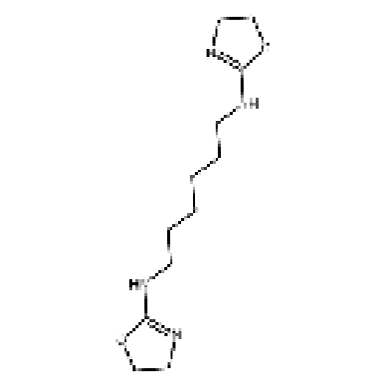 C(CCCNC1=NCCO1)CCNC1=NCCO1